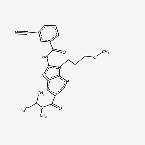 COCCCn1c(NC(=O)c2cccc(C#N)c2)nc2cc(C(=O)N(C)C(C)C)cnc21